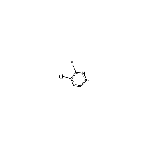 Fc1n[c]ccc1Cl